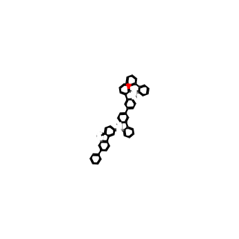 c1ccc(-c2ccc3c(c2)oc2ccc(-n4c5ccccc5c5cc(-c6ccc7c(c6)c6ccccc6n7-c6ccccc6-c6ccccc6)ccc54)cc23)cc1